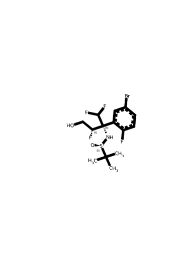 CC(C)(C)[S@@+]([O-])N[C@@](c1cc(Br)ccc1F)(C(F)F)[C@H](F)CO